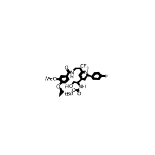 COc1cc(C(=O)NCC(c2cc(C(CO)NC(=O)OC(C)(C)C)cc(-c3ccc(F)cc3)n2)C(F)(F)F)ccc1OC1CC1